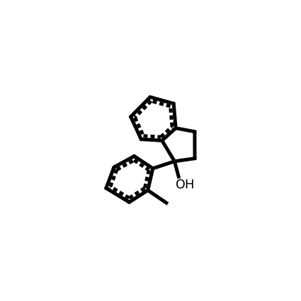 Cc1ccccc1C1(O)CCc2ccccc21